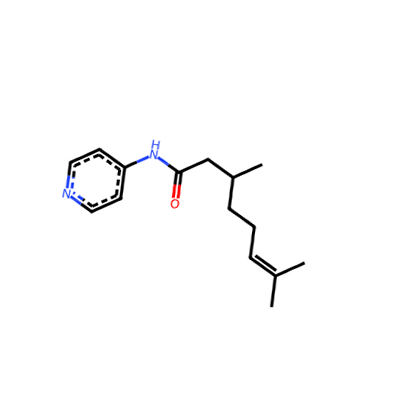 CC(C)=CCCC(C)CC(=O)Nc1ccncc1